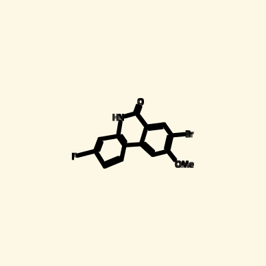 COc1cc2c(cc1Br)c(=O)[nH]c1cc(F)ccc12